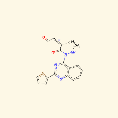 CNN(C(=O)/C(C)=C\C=O)c1nc(-c2cccs2)nc2ccccc12